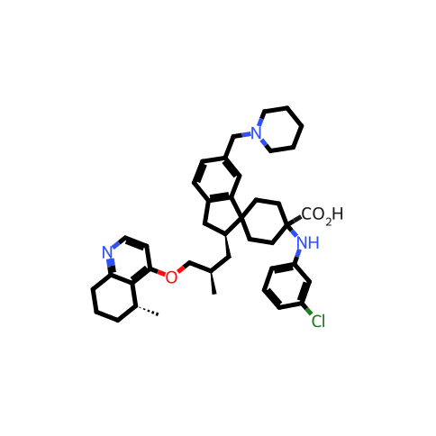 C[C@@H](COc1ccnc2c1[C@H](C)CCC2)C[C@H]1Cc2ccc(CN3CCCCC3)cc2C12CCC(Nc1cccc(Cl)c1)(C(=O)O)CC2